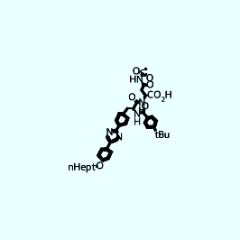 CCCCCCCOc1ccc(-c2cnc(-c3ccc(C[C@H](NC(=O)c4ccc(C(C)(C)C)cc4)C(=O)N[C@@H](CC(=O)NS(C)(=O)=O)C(=O)O)cc3)nc2)cc1